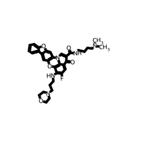 CN(C)CCCCNC(=O)c1cn2c3c(c(NCCCN4CCOCC4)c(F)cc3c1=O)Oc1cc3c(cc1-2)oc1ccccc13